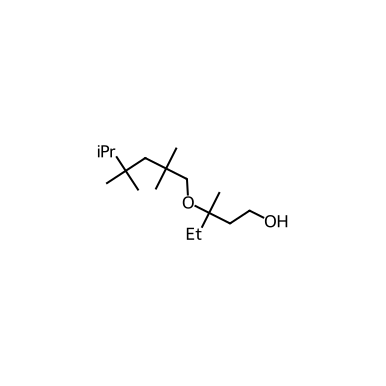 CCC(C)(CCO)OCC(C)(C)CC(C)(C)C(C)C